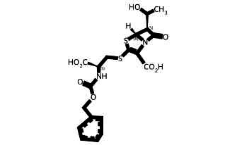 CC(O)[C@H]1C(=O)N2C(C(=O)O)=C(SC[C@@H](NC(=O)OCc3ccccc3)C(=O)O)S[C@H]12